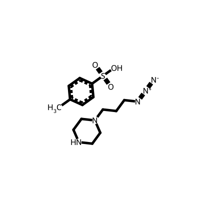 Cc1ccc(S(=O)(=O)O)cc1.[N-]=[N+]=NCCCN1CCNCC1